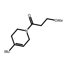 COCCC(=O)N1CC=C(C(C)(C)C)CC1